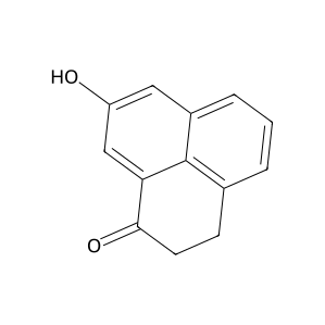 O=C1CCc2cccc3cc(O)cc1c23